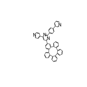 c1cncc(-c2ccc(-c3nc(-c4ccncc4)cc(-c4ccc5c6ccccc6c6ccccc6c6ccccc6c6ccccc6c5c4)n3)cc2)c1